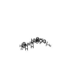 CCCCCOc1ccc(S(=O)(=O)NCCNCCCNC(=O)OC(C)(C)C)cc1